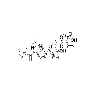 CCC(P(=O)(O)O)S(=O)(=O)C[C@H]1O[C@@H](n2cnc3c(NC4CCCC4)nc(Cl)nc32)[C@H](O)[C@@H]1O